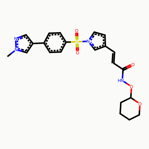 Cn1cc(-c2ccc(S(=O)(=O)n3ccc(C=CC(=O)NOC4CCCCO4)c3)cc2)cn1